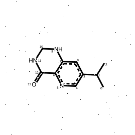 CC(C)c1cnc2c(c1)NCNC2=O